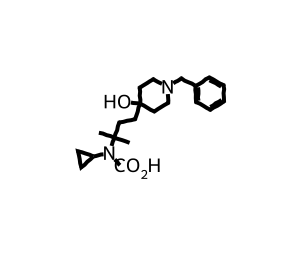 CC(C)(CCC1(O)CCN(Cc2ccccc2)CC1)N(C(=O)O)C1CC1